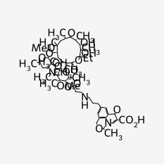 CC[C@H]1OC(=O)[C@H](C)[C@@H](O[C@H]2C[C@@](C)(OC)[C@@H](OC(=O)CCNCCCc3cc4c5c(c3)c(=O)c(C(=O)O)cn5C(C)OC4)[C@H](C)O2)[C@H](C)[C@@H](O[C@@H]2O[C@H](C)C[C@H](N(C)C)[C@H]2O)[C@](C)(OC)C[C@@H](C)C(=O)[C@H](C)[C@@H](O)[C@]1(C)O